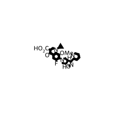 COc1c(N2C[C@@H]3C(c4ccccn4)=NO[C@@H]3C2)c(F)cc2c(=O)c(C(=O)O)cn(C3CC3)c12